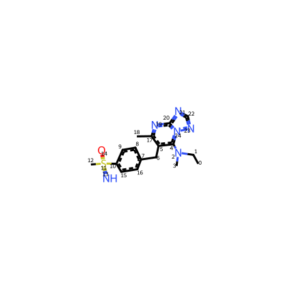 CCN(C)c1c(Cc2ccc(S(C)(=N)=O)cc2)c(C)nc2ncnn12